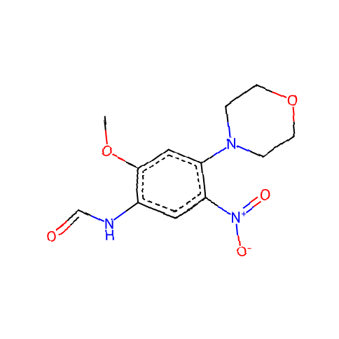 COc1cc(N2CCOCC2)c([N+](=O)[O-])cc1NC=O